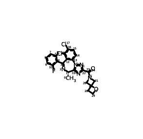 C[C@@H]1N=C(c2c(F)cccc2F)c2c(ccc(Cl)c2Cl)-n2nc(C(=O)N3CC4(CCO4)C3)nc21